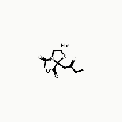 CCC(=O)CC1(C(=O)[O-])SCCN1C(C)=O.[Na+]